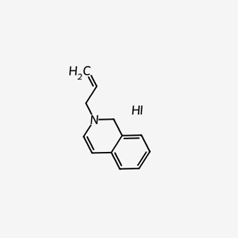 C=CCN1C=Cc2ccccc2C1.I